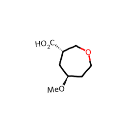 CO[C@@H]1CCOC[C@@H](C(=O)O)C1